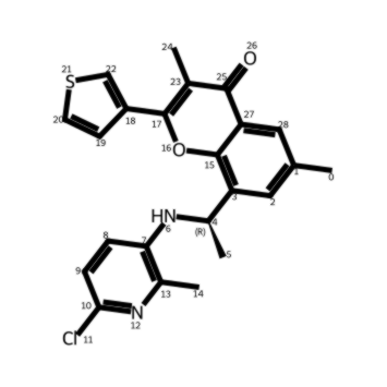 Cc1cc([C@@H](C)Nc2ccc(Cl)nc2C)c2oc(-c3ccsc3)c(C)c(=O)c2c1